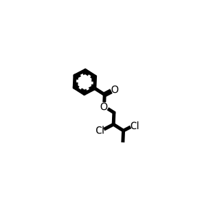 CC(Cl)C(Cl)COC(=O)c1ccccc1